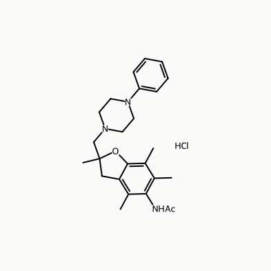 CC(=O)Nc1c(C)c(C)c2c(c1C)CC(C)(CN1CCN(c3ccccc3)CC1)O2.Cl